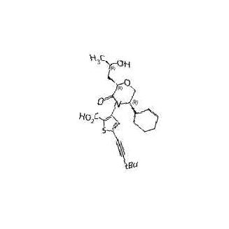 C[C@@H](O)C[C@H]1OC[C@@H](C2CCCCC2)N(c2cc(C#CC(C)(C)C)sc2C(=O)O)C1=O